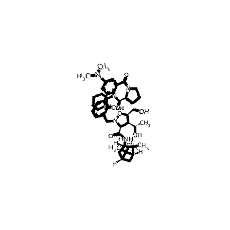 COc1c(CN2O[C@@H](CO)[C@@H]([C@H](C)O)[C@H]2C(=O)N[C@H]2C[C@H]3C[C@@H]([C@@H]2C)C3(C)C)cccc1-c1cc(C(=O)N2CCC[C@H]2C(=O)NC2CCCCN2)cc(N(C)C)c1